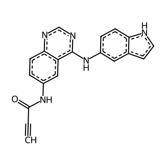 C#CC(=O)Nc1ccc2ncnc(Nc3ccc4[nH]ccc4c3)c2c1